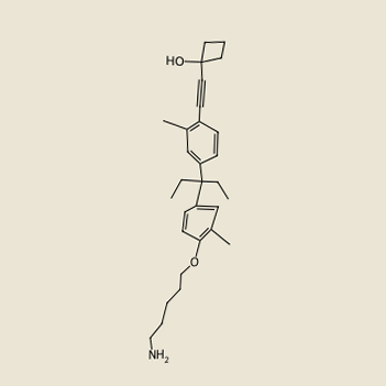 CCC(CC)(c1ccc(C#CC2(O)CCC2)c(C)c1)c1ccc(OCCCCCN)c(C)c1